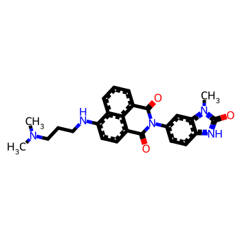 CN(C)CCCNc1ccc2c3c(cccc13)C(=O)N(c1ccc3[nH]c(=O)n(C)c3c1)C2=O